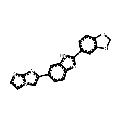 c1cn2cc(-c3ccc4nc(-c5ccc6c(c5)OCO6)[nH]c4c3)nc2s1